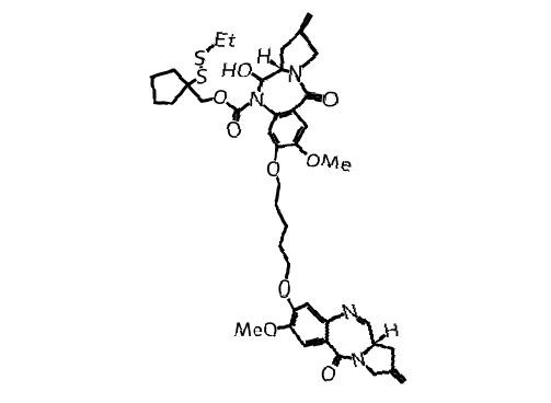 C=C1C[C@H]2C=Nc3cc(OCCCCCOc4cc5c(cc4OC)C(=O)N4CC(=C)C[C@H]4C(O)N5C(=O)OCC4(SSCC)CCCC4)c(OC)cc3C(=O)N2C1